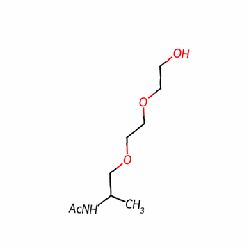 CC(=O)NC(C)COCCOCCO